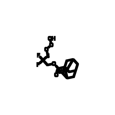 O=C(OCC(F)(F)SOOO)C12CC3CC(C1)C(O)C(C3)C2